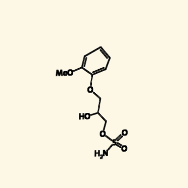 COc1ccccc1OCC(O)COS(N)(=O)=O